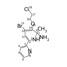 CC1(N)NC(c2ccccn2)=CC(Br)=C1OCCCl